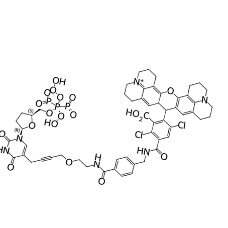 O=C(NCCOCC#CCc1cn([C@H]2CC[C@@H](COP(OO)(OOO)(P(=O)=O)P(=O)=O)O2)c(=O)[nH]c1=O)c1ccc(CNC(=O)c2cc(Cl)c(C3c4cc5c6c(c4OC4=C7CCC[N+]8=C7C(=CC43)CCC8)CCCN6CCC5)c(C(=O)O)c2Cl)cc1